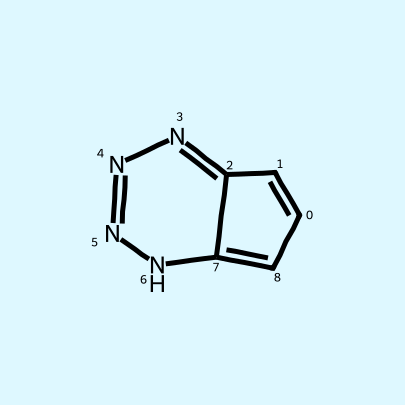 c1cc2nnn[nH]c-2c1